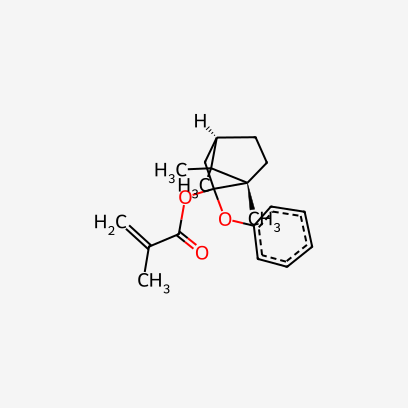 C=C(C)C(=O)OC1(Oc2ccccc2)C[C@H]2CC[C@@]1(C)C2(C)C